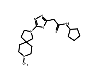 CN1CCC2(CC1)CCN(c1nnc(CC(=O)NC3CCCC3)s1)C2